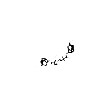 CC(C)Oc1c(C(=O)NC2C3CC4CC2CC(O)(C4)C3)cnn1/C=C/C(C)(C)C(=O)NC1C2CC3CC1CC(O)(C3)C2